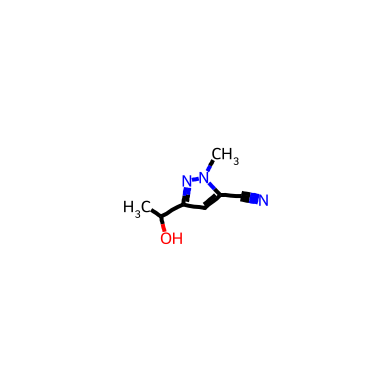 CC(O)c1cc(C#N)n(C)n1